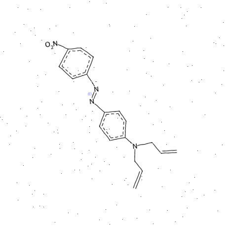 C=CCN(CC=C)c1ccc(/N=N/c2ccc([N+](=O)[O-])cc2)cc1